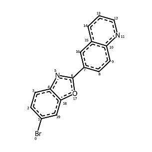 Brc1ccc2nc(-c3ccc4ncccc4c3)oc2c1